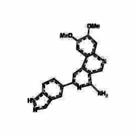 COc1cc2ncc3c(N)nc(-c4ccc5[nH]ncc5c4)cc3c2cc1OC